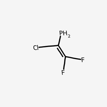 FC(F)=C(P)Cl